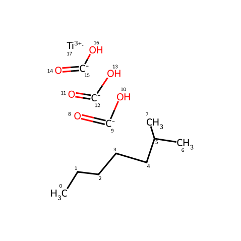 CCCCCC(C)C.O=[C-]O.O=[C-]O.O=[C-]O.[Ti+3]